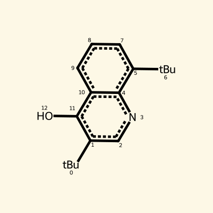 CC(C)(C)c1cnc2c(C(C)(C)C)cccc2c1O